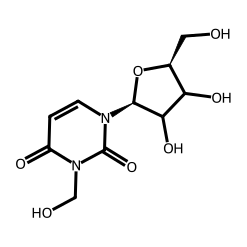 O=c1ccn([C@H]2O[C@@H](CO)C(O)C2O)c(=O)n1CO